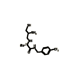 CCC(C)[C@H](NCC(N)CS)C(=O)NCc1ccc(C(F)(F)F)cc1